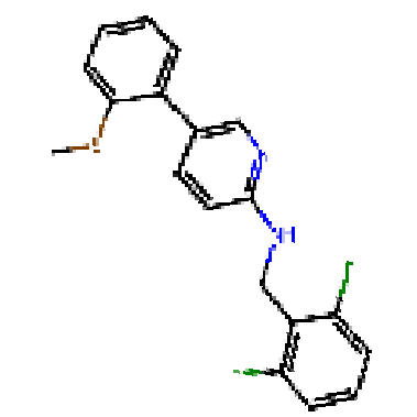 CSc1ccccc1-c1ccc(NCc2c(F)cccc2F)nc1